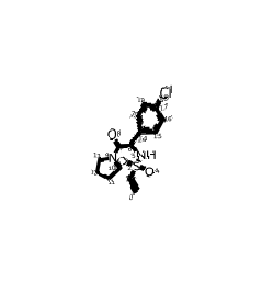 C=CS(=O)(=O)NC(C(=O)N1CCCC1)c1ccc(Cl)cc1